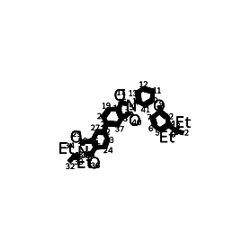 CCC(C)(CC)c1cccc(Oc2cccc(N3C(=O)c4ccc(-c5ccc6c(c5)C(=O)N(C(C)(CC)CC)C6=O)cc4C3=O)c2)c1